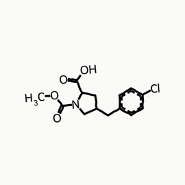 COC(=O)N1CC(Cc2ccc(Cl)cc2)CC1C(=O)O